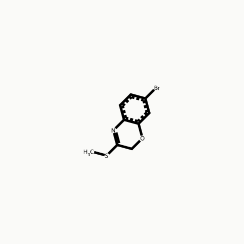 CSC1=Nc2ccc(Br)cc2OC1